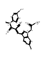 Cc1ccc2c(/C=C(\C#N)C(=O)N(C)c3ccc(F)cc3)cn(CC(=O)O)c2c1